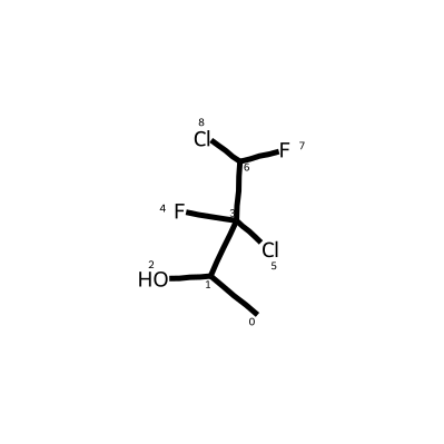 CC(O)C(F)(Cl)C(F)Cl